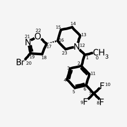 CC(c1cccc(C(F)(F)F)c1)N1CCCC([C@@H]2CC(Br)=NO2)C1